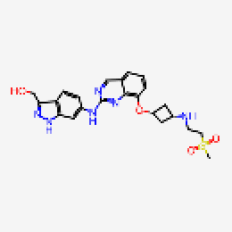 CS(=O)(=O)CCN[C@H]1C[C@@H](Oc2cccc3cnc(Nc4ccc5c(CO)n[nH]c5c4)nc23)C1